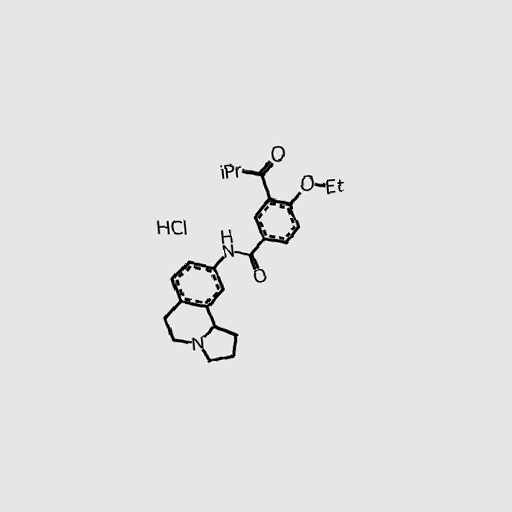 CCOc1ccc(C(=O)Nc2ccc3c(c2)C2CCCN2CC3)cc1C(=O)C(C)C.Cl